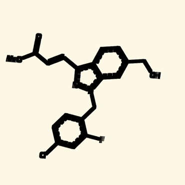 COC(=O)/C=C/c1nn(Cc2ccc(Cl)cc2F)c2cc(CO)ccc12